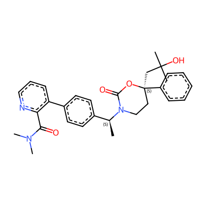 C[C@@H](c1ccc(-c2cccnc2C(=O)N(C)C)cc1)N1CC[C@](CC(C)(C)O)(c2ccccc2)OC1=O